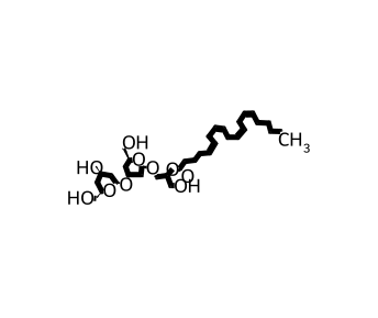 CCCCC/C=C\C/C=C\C/C=C\C/C=C\CCCC(=O)OC(CO)CO[C@H]1C[C@@H](O[C@H]2C[C@@H](O)C[C@@H](CO)O2)C[C@@H](CO)O1